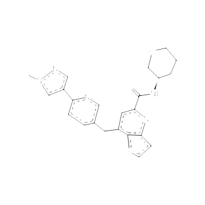 Cn1cc(-c2ccc(Cc3cc(C(=O)N[C@@H]4CCCOC4)nc4ccsc34)cn2)cn1